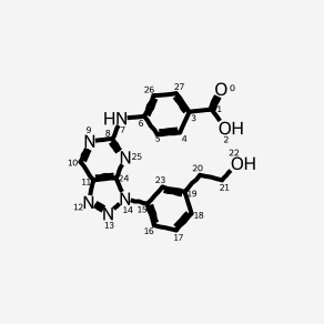 O=C(O)c1ccc(Nc2ncc3nnn(-c4cccc(CCO)c4)c3n2)cc1